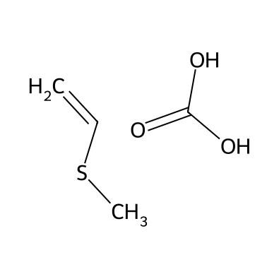 C=CSC.O=C(O)O